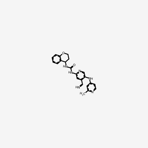 Cc1cc(Nc2cnc(NC(=O)NC3CCOc4ccccc43)cc2C=N)ccn1